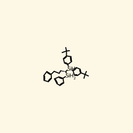 CC(C)(C)c1ccc([SiH](c2ccc(C(C)(C)C)cc2)[C@H](CCCc2ccccc2)[SiH2]c2ccccc2)cc1